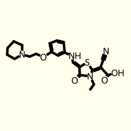 CCn1c(=C(C#N)C(=O)O)sc(=CNc2cccc(OCCN3CCCCC3)c2)c1=O